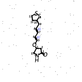 O=C1CC(O/C=C/C=C/CC2CCSS2)CN1